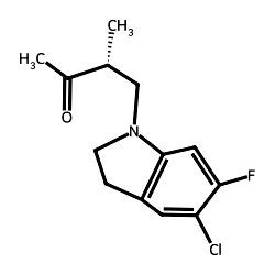 CC(=O)[C@H](C)CN1CCc2cc(Cl)c(F)cc21